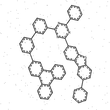 c1ccc(-c2ccc3sc4cc(-c5nc(-c6ccccc6)nc(-c6cccc(-c7cccc(-c8ccc9c%10ccccc%10c%10ccccc%10c9c8)c7)c6)n5)ccc4c3c2)cc1